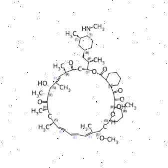 CN[C@@H]1CC[C@@H](C[C@@H](C)[C@@H]2CC(=O)[C@H](C)/C=C(\C)[C@@H](O)[C@@H](C)C(=O)[C@H](C)C[C@H](C)/C=C/C=C/C=C(\C)[C@@H](OC)C[C@@H]3CC[C@@H](C)[C@@](O)(O3)C(=O)C(=O)N3CCCCC3C(=O)O2)C[C@H]1C